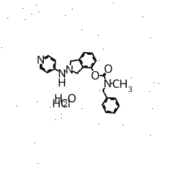 CN(Cc1ccccc1)C(=O)Oc1cccc2c1CN(Nc1ccncc1)C2.Cl.O